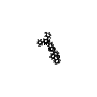 c1ccc(-c2cc(-c3ccccc3)nc(-c3ccc4nc(-c5ccc6c7c(cccc57)-c5ccccc5O6)cnc4c3)n2)cc1